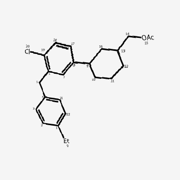 CCc1ccc(Cc2cc(C3CCCC(COC(C)=O)C3)ccc2Cl)cc1